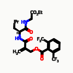 C=C(COC(=O)c1c(C(F)(F)F)cccc1C(F)(F)F)C(=O)N[C@@H](CC(C)C)C(=O)NCC(=O)OCC